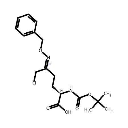 CC(C)(C)OC(=O)N[C@H](CC/C(CCl)=N/OCc1ccccc1)C(=O)O